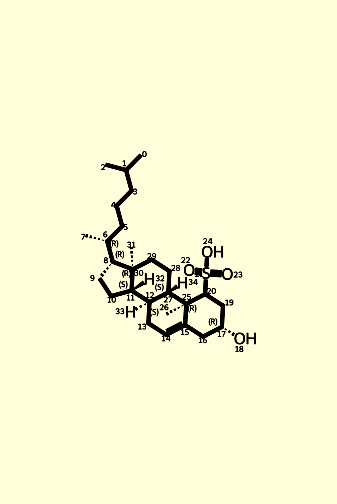 CC(C)CCC[C@@H](C)[C@H]1CC[C@H]2[C@@H]3CC=C4C[C@@H](O)CC(S(=O)(=O)O)[C@]4(C)[C@H]3CC[C@]12C